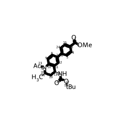 COC(=O)c1ccc(-c2ccc3c(c2)[C@H](NC(=O)OC(C)(C)C)C[C@H](C)N3C(C)=O)cc1